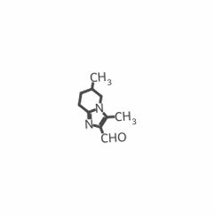 Cc1c(C=O)nc2n1CC(C)CC2